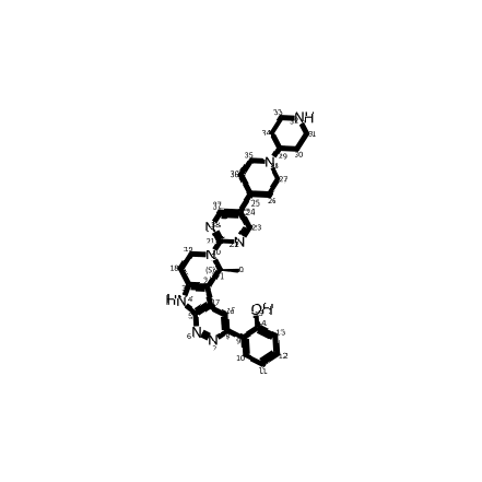 C[C@H]1c2c([nH]c3nnc(-c4ccccc4O)cc23)CCN1c1ncc(C2CCN(C3CCNCC3)CC2)cn1